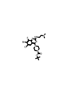 CN(C)CCNc1nc(N2CCN(C(=O)OC(C)(C)C)CC2)c2cc(Cl)c(Br)c(F)c2n1